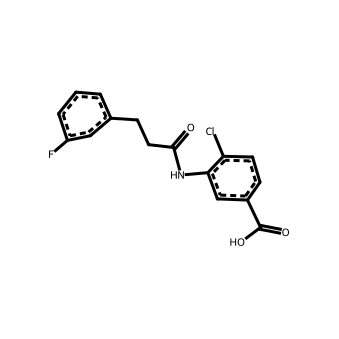 O=C(CCc1cccc(F)c1)Nc1cc(C(=O)O)ccc1Cl